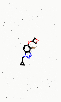 Brc1c(OC2COC2)ccc2c1nnn2CC1CC1